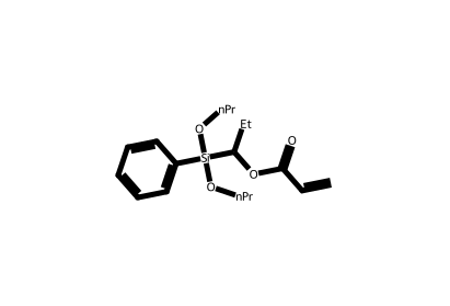 C=CC(=O)OC(CC)[Si](OCCC)(OCCC)c1ccccc1